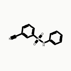 N#Cc1cccc(S(=O)(=O)Nc2ccccc2)c1